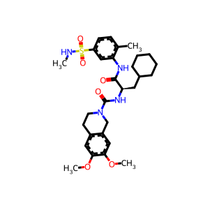 CNS(=O)(=O)c1ccc(C)c(NC(=O)[C@@H](CC2CCCCC2)NC(=O)N2CCc3cc(OC)c(OC)cc3C2)c1